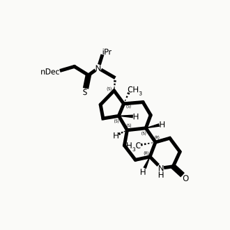 CCCCCCCCCCCC(=S)N(C[C@H]1CC[C@H]2[C@@H]3CC[C@H]4NC(=O)CC[C@]4(C)[C@H]3CC[C@]12C)C(C)C